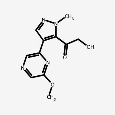 COc1cncc(-c2cnn(C)c2C(=O)CO)n1